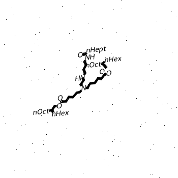 CCCCCCCCC(CCCCCC)COC(=O)CCCCCN(CCCCCC(=O)OCC(CCCCCC)CCCCCCCC)CCNCCCCNC(=O)CCCCCCC